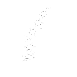 CCCc1ccc(-c2ccc(-c3ccc(C(F)(F)Oc4ccc(OC(F)(F)C=C(F)F)cc4)cc3)c(F)c2)cc1